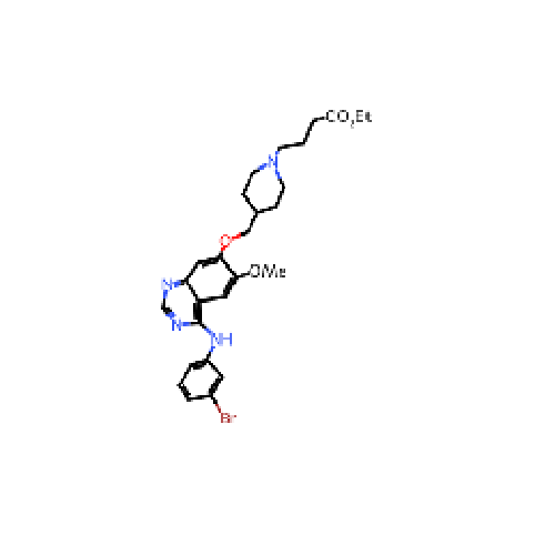 CCOC(=O)CCCN1CCC(COc2cc3ncnc(Nc4cccc(Br)c4)c3cc2OC)CC1